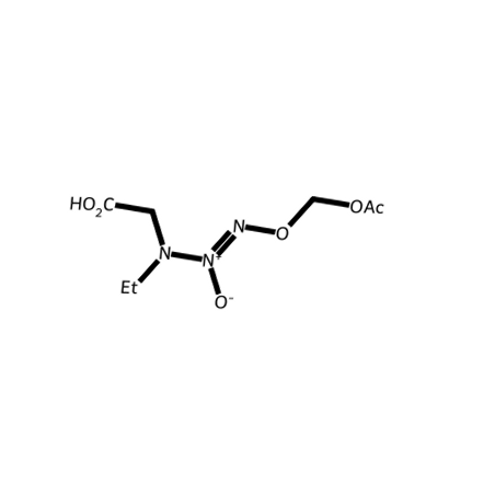 CCN(CC(=O)O)/[N+]([O-])=N/OCOC(C)=O